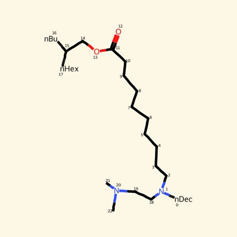 CCCCCCCCCCN(CCCCCCCCCC(=O)OCC(CCCC)CCCCCC)CCN(C)C